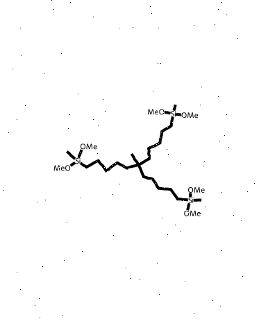 CO[Si](C)(CCCCCC(C)(CCCCC[Si](C)(OC)OC)CCCCC[Si](C)(OC)OC)OC